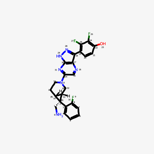 NC[C@]1(c2ccccc2F)[C@@H]2CCN(c3cnc4c(-c5ccc(O)c(F)c5F)n[nH]c4n3)C[C@@H]21